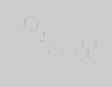 CN(C)c1nc(N[C@H]2CC[C@@H](NC(=O)c3cncc(Br)c3)CC2)nc2c1CCCC2